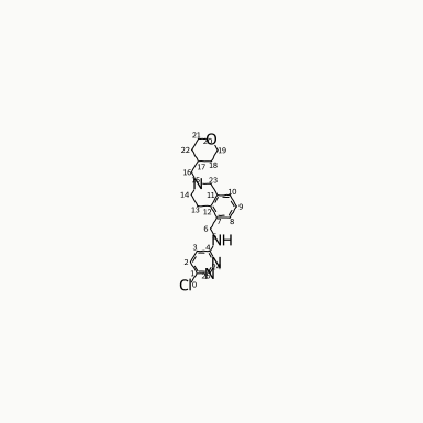 Clc1ccc(NCc2cccc3c2CCN(CC2CCOCC2)C3)nn1